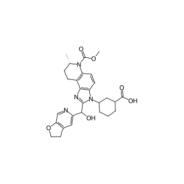 COC(=O)N1c2ccc3c(nc(C(O)c4cc5c(cn4)OCC5)n3C3CCCC(C(=O)O)C3)c2CC[C@@H]1C